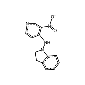 O=[N+]([O-])c1cnccc1NN1CCc2ccccc21